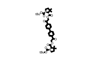 CC(C)(C)OC(=O)N1CCC(C)(C)C1C(=O)OCC(=O)c1ccc(-c2ccc(C(=O)COC(=O)[C@@H]3N(C(=O)OC(C)(C)C)CCC3(C)C)cc2)cc1